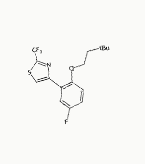 CC(C)(C)CCOc1ccc(F)cc1-c1csc(C(F)(F)F)n1